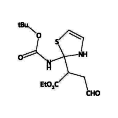 CCOC(=O)C(CC=O)C1(NC(=O)OC(C)(C)C)NC=CS1